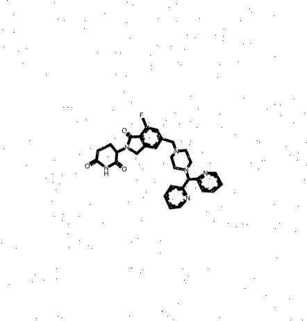 O=C1CCC(N2Cc3cc(CN4CCN(C(c5ccccn5)c5ccccn5)CC4)cc(F)c3C2=O)C(=O)N1